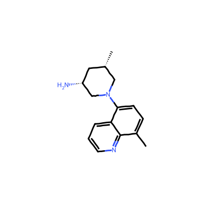 Cc1ccc(N2C[C@@H](C)C[C@@H](N)C2)c2cccnc12